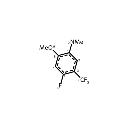 CNc1cc(C(F)(F)F)c(F)cc1OC